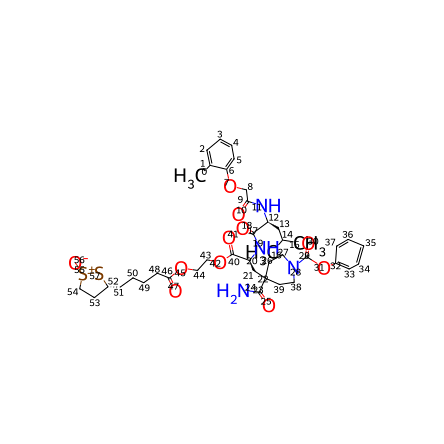 Cc1ccccc1OCC(=O)N[C@@H](CC(C)C)C(=O)N[C@@H](CC1(C(N)=O)CCN(C(=O)Oc2ccccc2)CC1)C(=O)OCCOC(=O)CCCC[C@@H]1CC[S+]([O-])S1